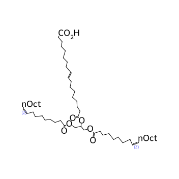 CCCCCCCC/C=C\CCCCCCCC(=O)OCC(COC(=O)CCCCCCC/C=C\CCCCCCCC)OC(=O)CCCCCCCC=CCCCCCCCC(=O)O